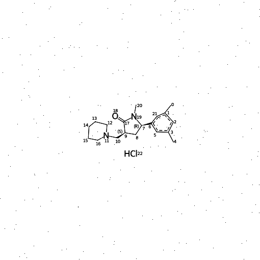 Cc1cc(C)cc([C@H]2C[C@@H](CN3CCCCC3)C(=O)N2C)c1.Cl